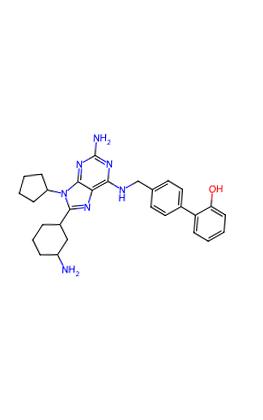 Nc1nc(NCc2ccc(-c3ccccc3O)cc2)c2nc(C3CCCC(N)C3)n(C3CCCC3)c2n1